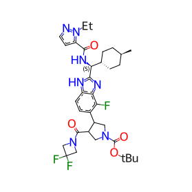 CCn1nccc1C(=O)N[C@H](c1nc2c(F)c(C3CN(C(=O)OC(C)(C)C)CC3C(=O)N3CC(F)(F)C3)ccc2[nH]1)[C@H]1CC[C@H](C)CC1